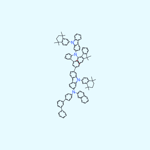 CC1(C)CCC(C)(C)c2cc(-n3c4cc(-c5cccc(-c6ccccc6N(c6ccc7c8ccccc8n(-c8ccc9c(c8)C(C)(C)CCC9(C)C)c7c6)c6cccc7c6-c6ccccc6C7(C)C)c5)ccc4c4ccc(N(c5ccc(-c6cccc(-c7ccccc7)c6)cc5)c5ccc6ccccc6c5)cc43)ccc21